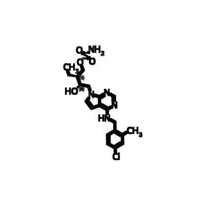 CC[C@@H](COS(N)(=O)=O)[C@@H](O)Cn1ccc2c(NCc3ccc(Cl)cc3C)ncnc21